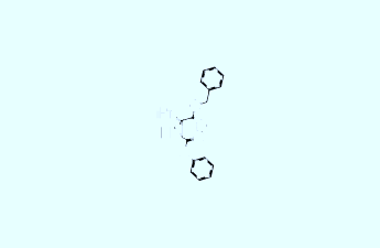 CC(C)[C@H](NC(=O)Oc1ccccc1)C(=O)OCc1ccccc1